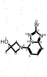 CC1(O)CN(c2cccc3nc(Br)nn23)C1